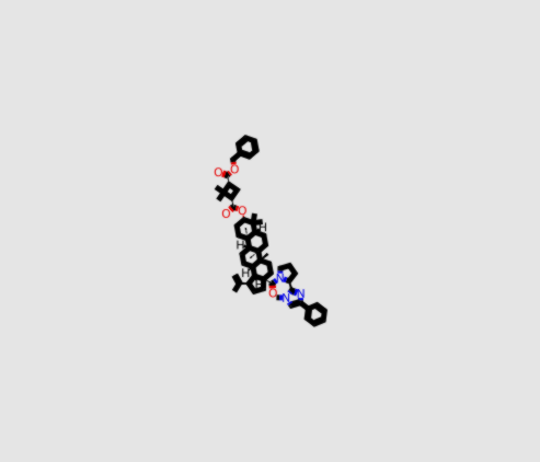 C=C(C)[C@@H]1CC[C@]2(C(=O)N3CCC[C@H]3c3nc(-c4ccccc4)cn3C)CC[C@]3(C)[C@H](CC[C@@H]4[C@@]5(C)CC[C@H](OC(=O)[C@H]6C[C@@H](C(=O)OCc7ccccc7)C6(C)C)C(C)(C)[C@@H]5CC[C@]43C)[C@@H]12